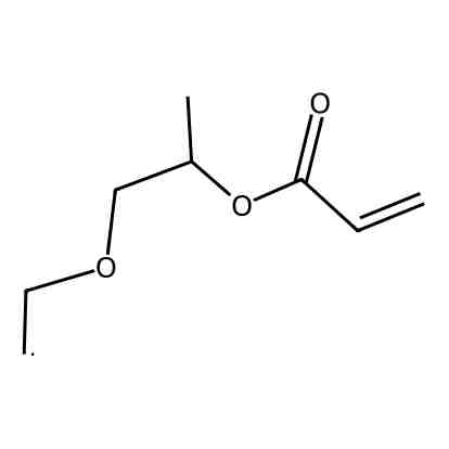 [CH2]COCC(C)OC(=O)C=C